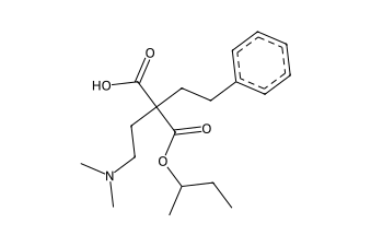 CCC(C)OC(=O)C(CCc1ccccc1)(CCN(C)C)C(=O)O